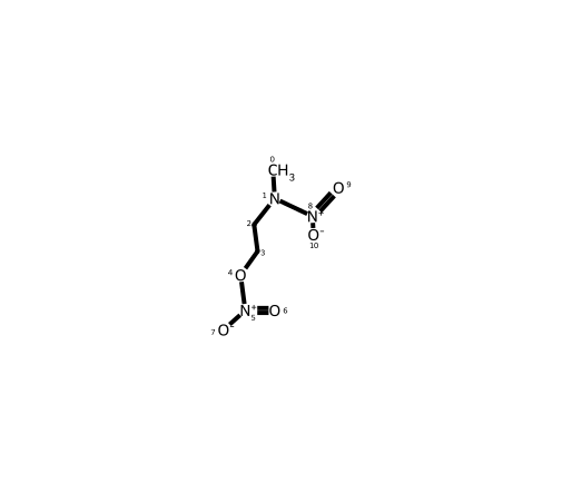 CN(CCO[N+](=O)[O-])[N+](=O)[O-]